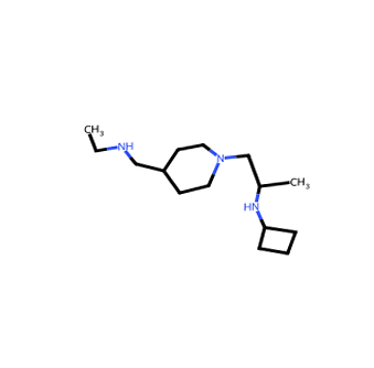 CCNCC1CCN(CC(C)NC2CCC2)CC1